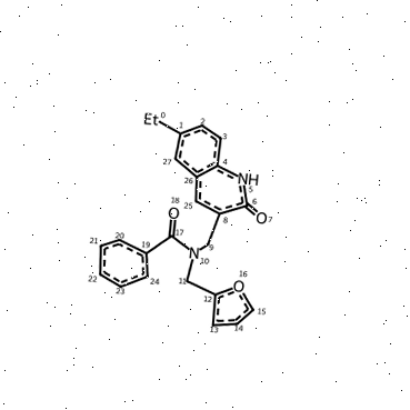 CCc1ccc2[nH]c(=O)c(CN(Cc3ccco3)C(=O)c3ccccc3)cc2c1